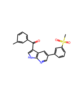 Cc1cccc(C(=O)c2c[nH]c3ncc(-c4cccc(S(C)(=O)=O)c4)cc23)c1